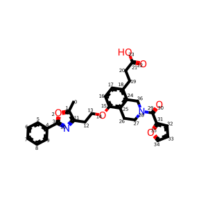 Cc1oc(-c2ccccc2)nc1CCOc1ccc(CCC(=O)O)c2c1CCN(C(=O)c1ccco1)C2